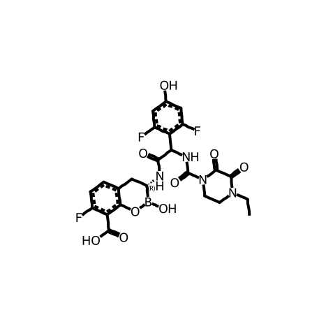 CCN1CCN(C(=O)NC(C(=O)N[C@H]2Cc3ccc(F)c(C(=O)O)c3OB2O)c2c(F)cc(O)cc2F)C(=O)C1=O